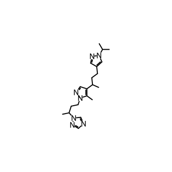 Cc1c(C(C)CCc2cnn(C(C)C)c2)cnn1CCC(C)n1cncn1